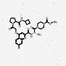 CCCCOC(=O)N1CCN(C(=O)[C@@H](NC(=O)c2cc(OCC(=O)N3CCCC3C(=O)NC3CCC3)c3ccc(C)cc3n2)[C@@H](C)CC)CC1